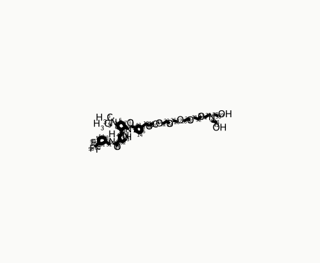 CCN(CC)c1ccc(NC(=O)c2cccc(COCCOCCOCCOCCOCCOCCN(CCO)CCO)c2)c(-c2cc(C(=O)NCc3cccc(C(F)(F)F)c3)ccn2)c1